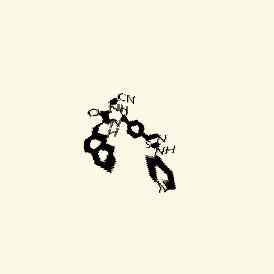 N#CCNC(=O)[C@H](Cc1ccc2ccccc2c1)NC(=O)c1ccc(-c2cnc(Nc3ccncc3)s2)cc1